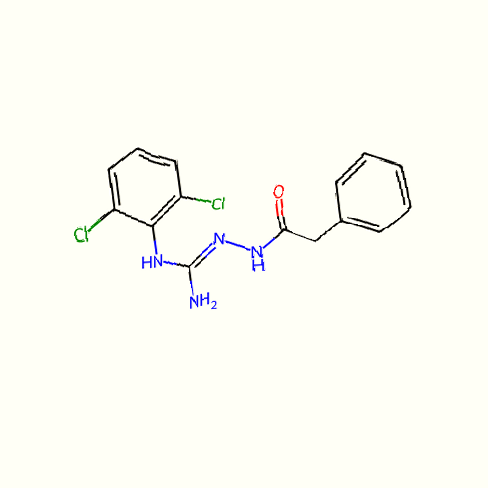 N/C(=N\NC(=O)Cc1ccccc1)Nc1c(Cl)cccc1Cl